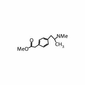 CNC(C)Cc1ccc(CC(=O)OC)cc1